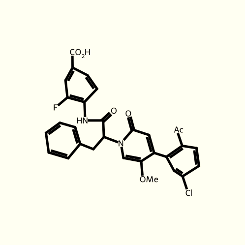 COc1cn(C(Cc2ccccc2)C(=O)Nc2ccc(C(=O)O)cc2F)c(=O)cc1-c1cc(Cl)ccc1C(C)=O